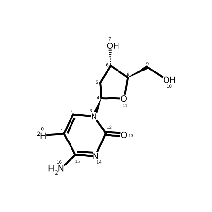 [2H]c1cn([C@H]2C[C@H](O)[C@@H](CO)O2)c(=O)nc1N